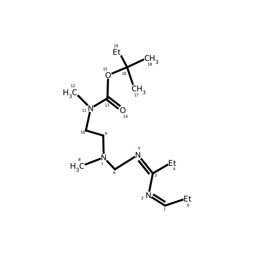 CC/C=N\C(CC)=N/CN(C)CCN(C)C(=O)OC(C)(C)CC